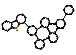 c1ccc(-c2ccc3c(c2)c2cccc4c5cc(-c6cccc7c6sc6ccccc67)ccc5c5ccccc5c5cccc3c5c42)cc1